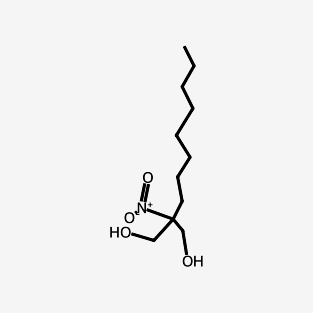 CCCCCCCCC(CO)(CO)[N+](=O)[O-]